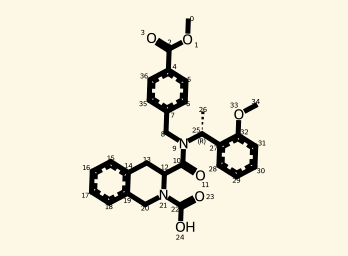 COC(=O)c1ccc(CN(C(=O)C2Cc3ccccc3CN2C(=O)O)[C@H](C)c2ccccc2OC)cc1